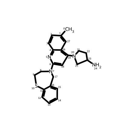 Cc1ccc2nc(N3CCSc4ccccc4C3)cc(N3CCC(N)C3)c2c1